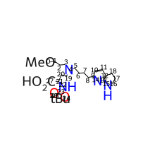 COCCCN(CCCCc1ccc2c(n1)NCCC2)CCC(NC(=O)OC(C)(C)C)C(=O)O